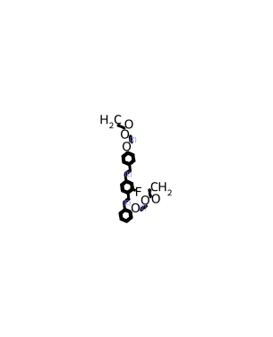 C=CC(=O)O/C=C\Oc1ccc(/C=C/c2ccc(/C=C/c3ccccc3O/C=C\OC(=O)C=C)c(F)c2)cc1